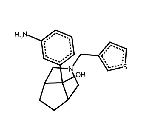 Nc1cccc(C2(O)C3CCC2CN(Cc2ccsc2)C3)c1